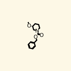 CO[C@@H]1CCCN(C(=O)OCc2ccccc2)C1